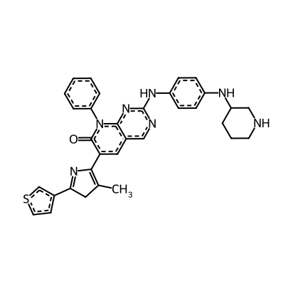 CC1=C(c2cc3cnc(Nc4ccc(NC5CCCNC5)cc4)nc3n(-c3ccccc3)c2=O)N=C(c2ccsc2)C1